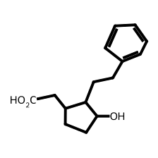 O=C(O)CC1CCC(O)C1CCc1ccccc1